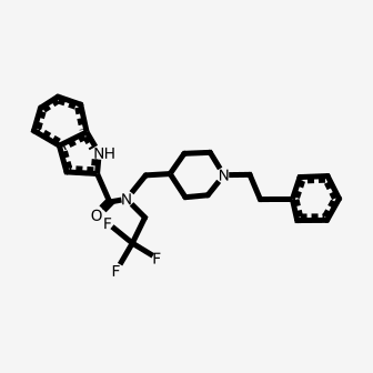 O=C(c1cc2ccccc2[nH]1)N(CC1CCN(CCc2ccccc2)CC1)CC(F)(F)F